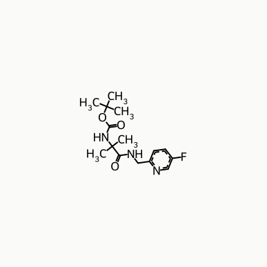 CC(C)(C)OC(=O)NC(C)(C)C(=O)NCc1ccc(F)cn1